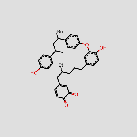 CCCCC(CC(C)c1ccc(O)cc1)c1ccc(Oc2cc(CCCC(CC)CC3=CC(=O)C(=O)C=C3)ccc2O)cc1